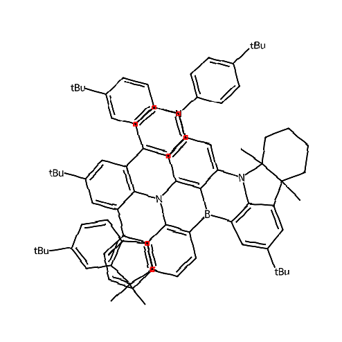 CC(C)(C)c1ccc(N(c2ccc(C(C)(C)C)cc2)c2cc3c4c(c2)N2c5c(cc(C(C)(C)C)cc5C5(C)CCCCC25C)B4c2ccc4c(c2N3c2c(-c3ccccc3)cc(C(C)(C)C)cc2-c2ccccc2)-c2ccc(C(C)(C)C)cc2C4(C)C)cc1